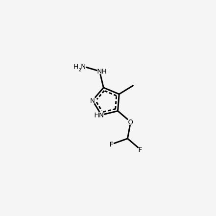 Cc1c(NN)n[nH]c1OC(F)F